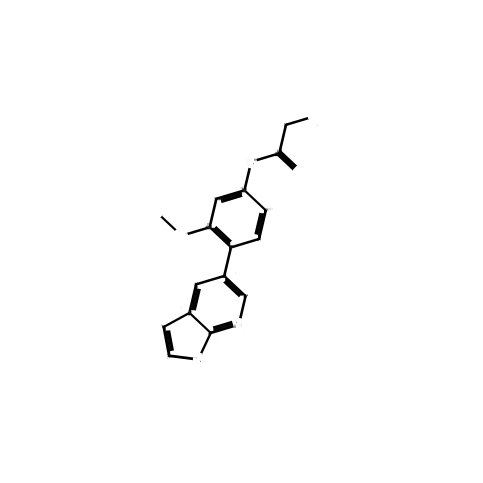 COc1cc(NC(=O)CO)ccc1-c1cnc2[nH]ccc2c1